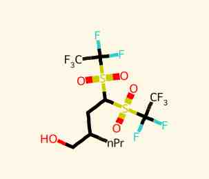 CCCC(CO)CC(S(=O)(=O)C(F)(F)C(F)(F)F)S(=O)(=O)C(F)(F)C(F)(F)F